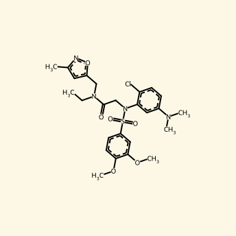 CCN(Cc1cc(C)no1)C(=O)CN(c1cc(N(C)C)ccc1Cl)S(=O)(=O)c1ccc(OC)c(OC)c1